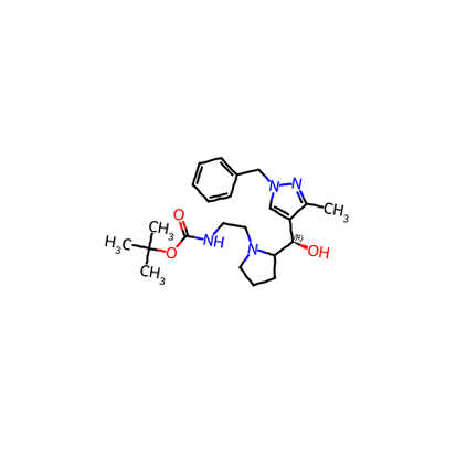 Cc1nn(Cc2ccccc2)cc1[C@@H](O)C1CCCN1CCNC(=O)OC(C)(C)C